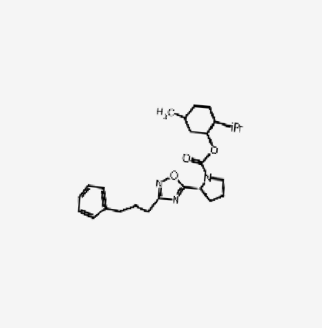 CC1CCC(C(C)C)C(OC(=O)N2CCC[C@H]2c2nc(CCCc3ccccc3)no2)C1